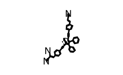 C[Si]1(C)C(C#Cc2ccc(C=C(C#N)C#N)cc2)=C(c2ccccc2)C(c2ccccc2)=C1C#Cc1ccc(/C=C/C#N)cc1